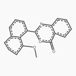 COc1cccc2cccc(-c3nc4ccccc4c(=O)o3)c12